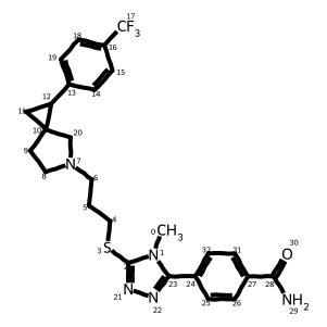 Cn1c(SCCCN2CCC3(CC3c3ccc(C(F)(F)F)cc3)C2)nnc1-c1ccc(C(N)=O)cc1